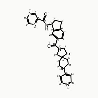 O=C(NC1CCc2ccc(C(=O)N3CCC4(CCN(c5ccncc5)CC4)C3)cc21)c1cnccn1